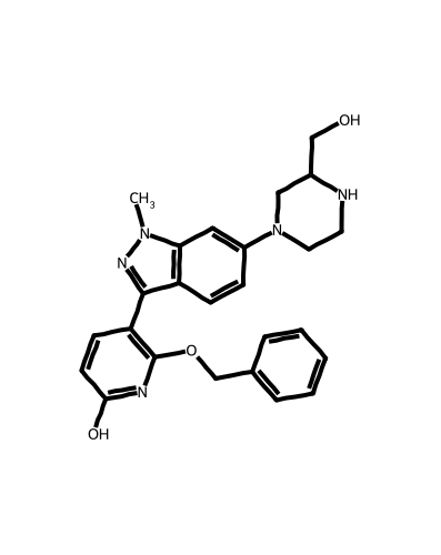 Cn1nc(-c2ccc(O)nc2OCc2ccccc2)c2ccc(N3CCNC(CO)C3)cc21